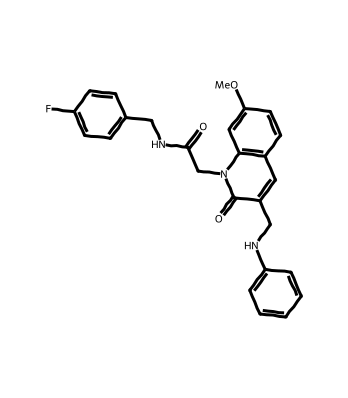 COc1ccc2cc(CNc3ccccc3)c(=O)n(CC(=O)NCc3ccc(F)cc3)c2c1